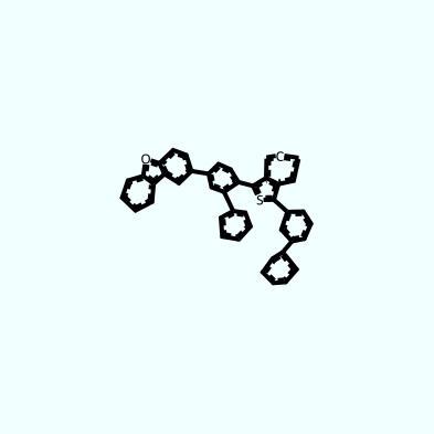 c1ccc(-c2cccc(-c3sc(-c4ccc(-c5ccc6oc7ccccc7c6c5)cc4-c4ccccc4)c4ccccc34)c2)cc1